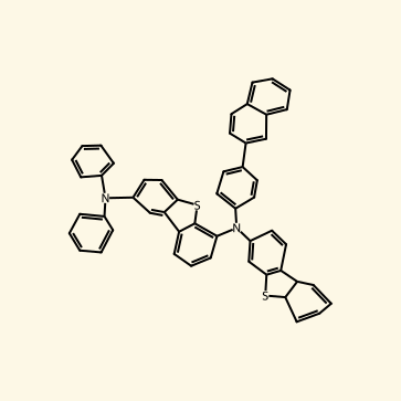 C1=CC2Sc3cc(N(c4ccc(-c5ccc6ccccc6c5)cc4)c4cccc5c4sc4ccc(N(c6ccccc6)c6ccccc6)cc45)ccc3C2C=C1